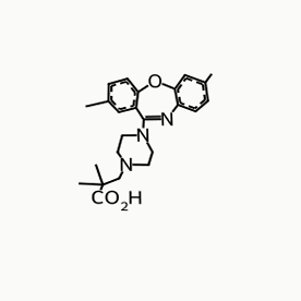 Cc1ccc2c(c1)Oc1ccc(C)cc1C(N1CCN(CC(C)(C)C(=O)O)CC1)=N2